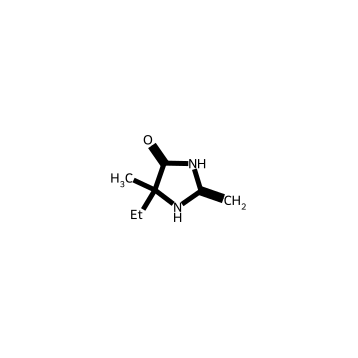 C=C1NC(=O)C(C)(CC)N1